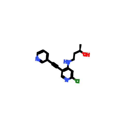 C[C@@H](O)CCNc1cc(Cl)ncc1C#Cc1cccnc1